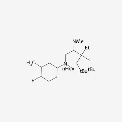 CCCCCCN(CC(NC)C(CC)(CC(C)(C)C)CC(C)(C)C)C1CCC(F)C(C)C1